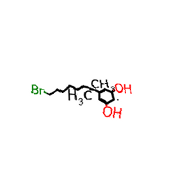 CC(C)(CCCCCCBr)C1=CC(O)[CH]C(O)=C1